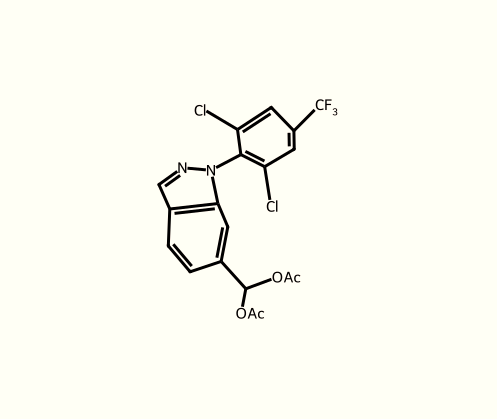 CC(=O)OC(OC(C)=O)c1ccc2cnn(-c3c(Cl)cc(C(F)(F)F)cc3Cl)c2c1